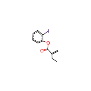 C=C(CC)C(=O)Oc1ccccc1I